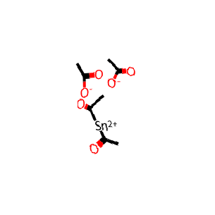 CC(=O)[O-].CC(=O)[O-].C[C](=O)[Sn+2][C](C)=O